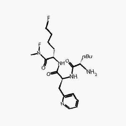 CCCC[C@H](N)C(=O)N[C@@H](Cc1ccccn1)C(=O)N[C@@H](CCCCF)C(=O)N(C)F